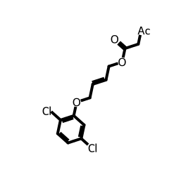 CC(=O)CC(=O)OC/C=C/COc1cc(Cl)ccc1Cl